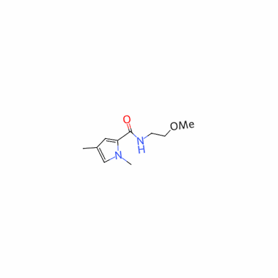 COCCNC(=O)c1cc(C)cn1C